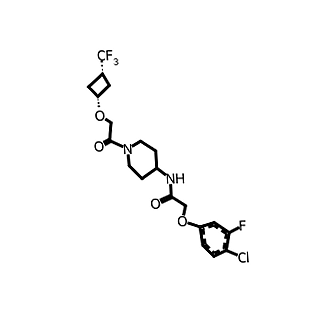 O=C(COc1ccc(Cl)c(F)c1)NC1CCN(C(=O)CO[C@H]2C[C@@H](C(F)(F)F)C2)CC1